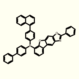 c1ccc(-c2ccc(N(c3ccc(-c4cccc5ccccc45)cc3)c3cccc4c3oc3cc5oc(-c6ccccc6)nc5cc34)cc2)cc1